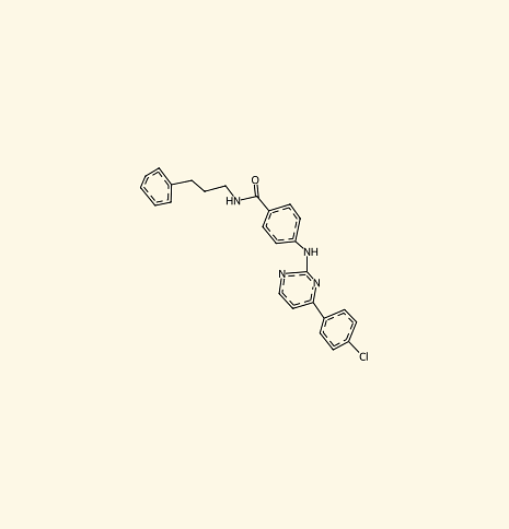 O=C(NCCCc1ccccc1)c1ccc(Nc2nccc(-c3ccc(Cl)cc3)n2)cc1